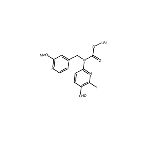 COc1cc(CN(C(=O)OC(C)(C)C)c2ccc(C=O)c(F)n2)ccn1